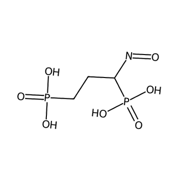 O=NC(CCP(=O)(O)O)P(=O)(O)O